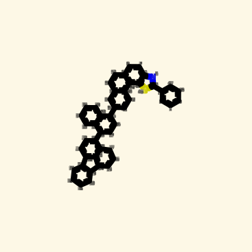 c1ccc(-c2nc3ccc4ccc5cc(-c6ccc(-c7ccc8c9c(cccc79)-c7ccccc7-8)c7ccccc67)ccc5c4c3s2)cc1